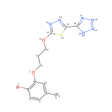 FC(F)(F)c1ccc(Br)c(OCCCOc2nnc(-c3nnn[nH]3)s2)c1